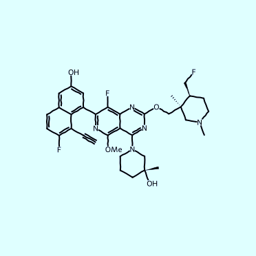 C#Cc1c(F)ccc2cc(O)cc(-c3nc(OC)c4c(N5CCC[C@@](C)(O)C5)nc(OC[C@]5(C)CN(C)CC[C@@H]5CF)nc4c3F)c12